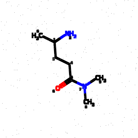 CC(N)CCC(=O)N(C)C